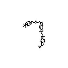 CC(CCSCCN1CCN(C(C)(C)C)CC1)N1CCN(C(C)(C)CCC(C)(C)N2CCN(CC3CC3)CC2)CC1